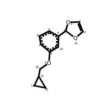 C1=COC(c2cccc(OCC3CC3)c2)O1